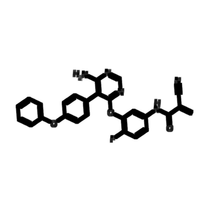 C=C(C#N)C(=O)Nc1ccc(F)c(Oc2ncnc(N)c2-c2ccc(Oc3ccccc3)cc2)c1